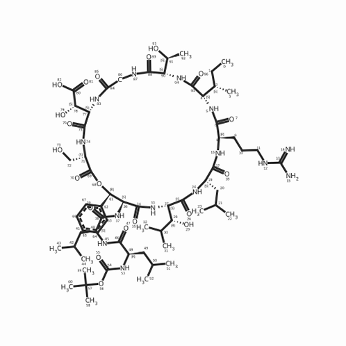 CC[C@H](C)[C@@H]1NC(=O)[C@@H](CCCNC(=N)N)NC(=O)[C@H](CC(C)C)NC(=O)[C@H]([C@H](O)C(C)C)NC(=O)[C@@H](NC(=O)[C@H](CC(C)C)NC(=O)[C@@H](CC(C)C)NC(=O)OC(C)(C)C)[C@@H](c2ccccc2)OC(=O)[C@H](CO)NC(=O)[C@H]([C@H](O)C(=O)O)NC(=O)CNC(=O)[C@H]([C@H](C)O)NC1=O